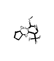 CSc1ncc(C(F)(F)F)c(O[C@H]2CCC[C@@H]2O)n1